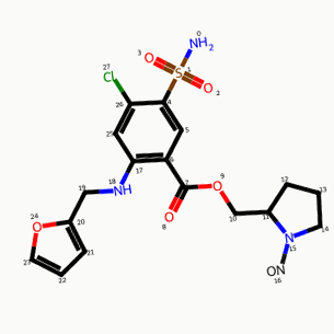 NS(=O)(=O)c1cc(C(=O)OCC2CCCN2N=O)c(NCc2ccco2)cc1Cl